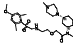 COc1cc(C)c(S(=O)(=O)CNCCOCC(=O)N(C)[C@H]2CCC[C@@H](N3CCN(C)CC3)C2)c(C)c1